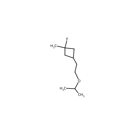 CC(C)OCCC1CC(C)(F)C1